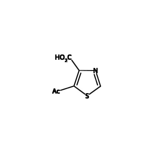 CC(=O)c1scnc1C(=O)O